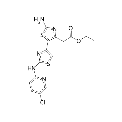 CCOC(=O)Cc1nc(N)sc1-c1csc(Nc2ccc(Cl)cn2)n1